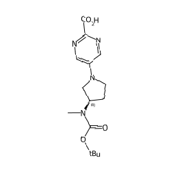 CN(C(=O)OC(C)(C)C)[C@@H]1CCN(c2cnc(C(=O)O)nc2)C1